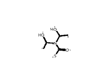 CC(O)N(C(=O)[S])C(C)O